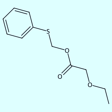 CCOCC(=O)OCSc1ccccc1